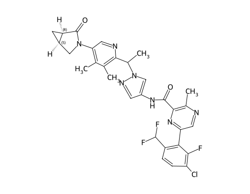 Cc1ncc(-c2c(C(F)F)ccc(Cl)c2F)nc1C(=O)Nc1cnn(C(C)c2ncc(N3C[C@H]4C[C@H]4C3=O)c(C)c2C)c1